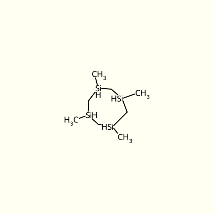 C[SiH]1C[SiH](C)C[SiH](C)C[SiH](C)C1